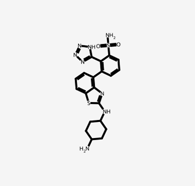 NC1CCC(Nc2nc3c(-c4cccc(S(N)(=O)=O)c4-c4nnn[nH]4)cccc3s2)CC1